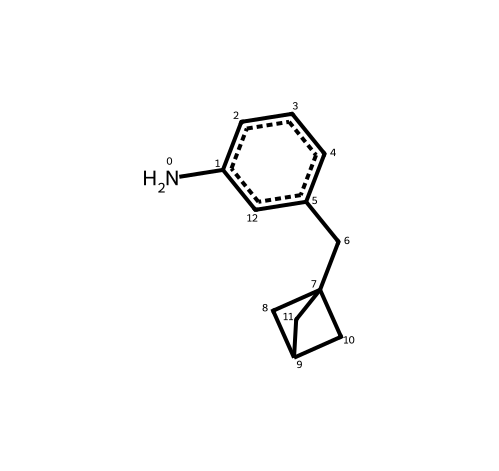 Nc1cccc(CC23CC(C2)C3)c1